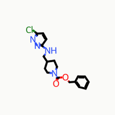 O=C(OCc1ccccc1)N1CCC(CNc2ccc(Cl)nn2)CC1